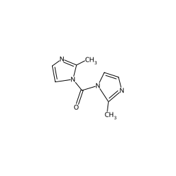 Cc1nccn1C(=O)n1ccnc1C